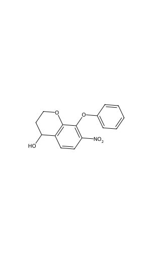 O=[N+]([O-])c1ccc2c(c1Oc1ccccc1)OCCC2O